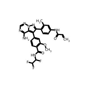 C=CC(=O)Nc1ccc(-c2nn3ncnc(N)c3c2-c2ccc(C(=O)NC(F)C(F)F)c(OC)c2)c(C)c1